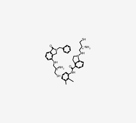 Cc1cccc(NC(=O)c2cccc3c2CCN3NC[C@@H](N)CS)c1C.N[C@@H](CS)CNc1cccc2c1CN(Cc1ccccc1)C2=O